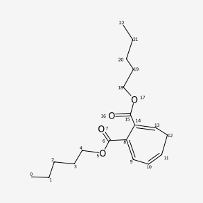 CCCCCOC(=O)C1=CC=CCC=C1C(=O)OCCCCC